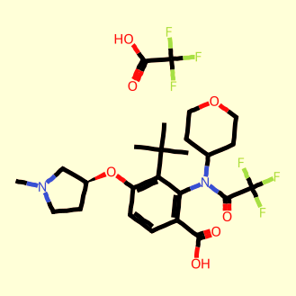 CN1CC[C@H](Oc2ccc(C(=O)O)c(N(C(=O)C(F)(F)F)C3CCOCC3)c2C(C)(C)C)C1.O=C(O)C(F)(F)F